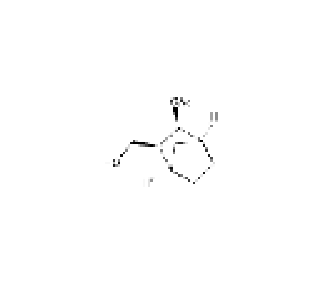 CC(=O)O[C@H]1[C@H]2CC[C@H](C2)[C@H]1CO